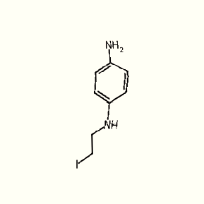 Nc1ccc(NCCI)cc1